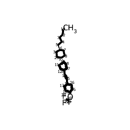 CCCCCC[C@H]1CC[C@H](c2ccc(C#Cc3ccc(OC(F)(F)F)cc3)cc2)CC1